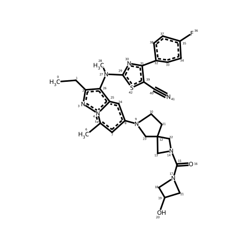 CCc1nn2c(C)cc(N3CCC4(CN(C(=O)N5CC(O)C5)C4)C3)cc2c1N(C)c1nc(-c2ccc(F)cc2)c(C#N)s1